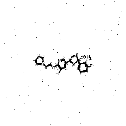 Cc1c(F)cccc1[C@]1(C(=O)O)CCC(c2cnc(OCCN3CCCC3)c(F)c2)C1